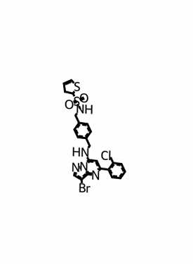 O=S(=O)(NCc1ccc(CNc2cc(-c3ccccc3Cl)nc3c(Br)cnn23)cc1)C1CC=CS1